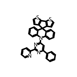 c1ccc(-c2cc(N3c4ccccc4C4(c5ccccc53)c3ccsc3-c3sccc34)nc(-c3ccccn3)n2)cc1